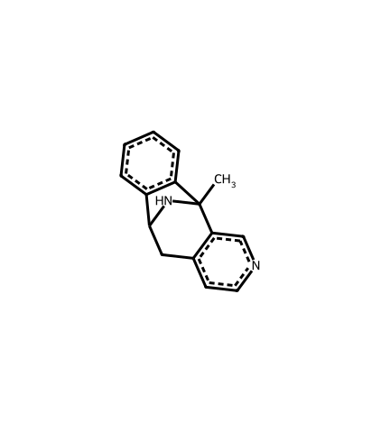 CC12NC(Cc3ccncc31)c1ccccc12